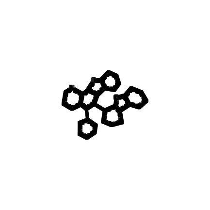 c1ccc(-c2c(-c3cccc4c3oc3ccccc34)c3c4ccccc4oc3c3ncccc23)cc1